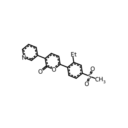 CCc1cc(S(C)(=O)=O)ccc1-c1ccc(-c2cccnc2)c(=O)o1